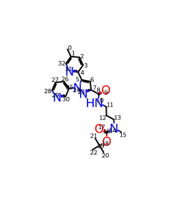 Cc1ccc(-c2cc(C(=O)NCCCN(C)C(=O)OC(C)(C)C)nn2-c2cccnc2)nc1